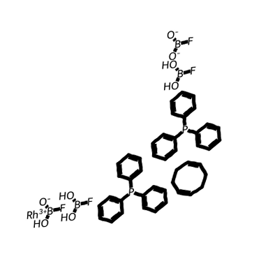 C1=CCCC=CCC1.OB(O)F.OB(O)F.[O-]B(O)F.[O-]B([O-])F.[Rh+3].c1ccc(P(c2ccccc2)c2ccccc2)cc1.c1ccc(P(c2ccccc2)c2ccccc2)cc1